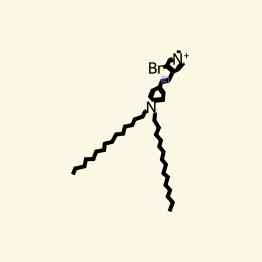 CCCCCCCCCCCCCCCCN(CCCCCCCCCCCCCCCC)c1ccc(/C=C/c2cc[n+](C)cc2Br)cc1